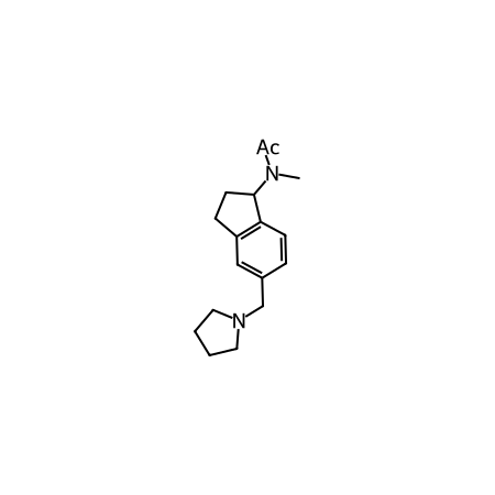 CC(=O)N(C)C1CCc2cc(CN3CCCC3)ccc21